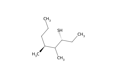 CCC[C@H](C)C(C)[C@H](S)CC